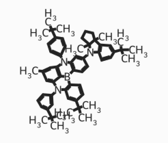 Cc1cc2c3c(c1)N(c1cccc(C(C)(C)C)c1)c1cc(C(C)(C)C)ccc1B3c1ccc(N3c4ccc(C(C)(C)C)cc4C4(C)CCCC34C)cc1N2c1ccc(C(C)(C)C)cc1